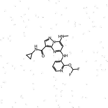 CNc1cc(Nc2cccnc2OC(F)F)nc2c(C(=O)NC3CC3)cnn12